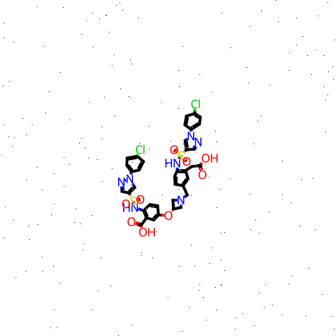 O=C(O)Cc1cc(CN2CC(Oc3ccc(NS(=O)(=O)c4cnn(-c5ccc(Cl)cc5)c4)c(C(=O)O)c3)C2)ccc1NS(=O)(=O)c1cnn(-c2ccc(Cl)cc2)c1